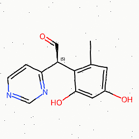 Cc1cc(O)cc(O)c1[C@H](C=O)c1ccncn1